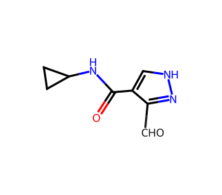 O=Cc1n[nH]cc1C(=O)NC1CC1